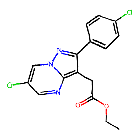 CCOC(=O)Cc1c(-c2ccc(Cl)cc2)nn2cc(Cl)cnc12